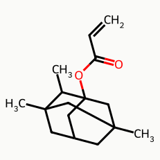 C=CC(=O)OC12CC3CC(C)(CC(C)(C3)C1C)C2